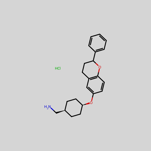 Cl.NC[C@H]1CC[C@@H](Oc2ccc3c(c2)CCC(c2ccccc2)O3)CC1